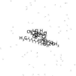 CCCCCCCCCCCCC(Oc1ccc(OC)cc1)C(=O)Nc1ccc(Cl)c(NC2=NN(c3c(Cl)cc(Cl)cc3Cl)C(=O)C2)c1